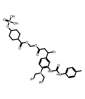 CCC(CC(=O)OCOC(=O)C1CCC(OP(=O)(O)O)CC1)c1ccc(N(CC(C)C)CC(C)C)c(NC(=O)Nc2ccc(C)cc2)c1